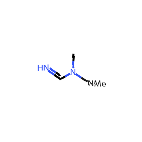 CNN(C)C=N